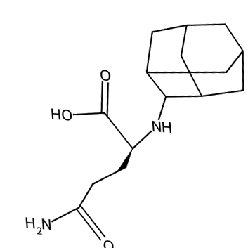 NC(=O)CC[C@H](NC1C2CC3CC(C2)CC1C3)C(=O)O